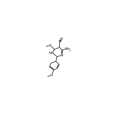 COC1=CCC(C2N=C(N)C(C#N)C(SC)N2)C=C1